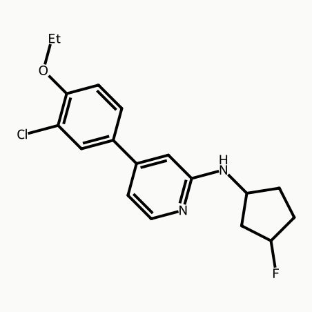 CCOc1ccc(-c2ccnc(NC3CCC(F)C3)c2)cc1Cl